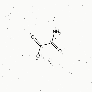 CC(=O)C(N)=O.Cl